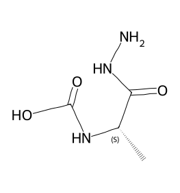 C[C@H](NC(=O)O)C(=O)NN